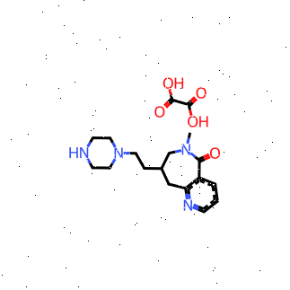 CN1CC(CCN2CCNCC2)Cc2ncccc2C1=O.O=C(O)C(=O)O